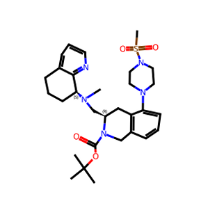 CN(C[C@H]1Cc2c(cccc2N2CCN(S(C)(=O)=O)CC2)CN1C(=O)OC(C)(C)C)[C@H]1CCCc2cccnc21